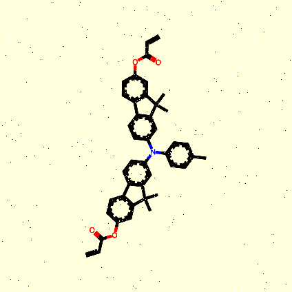 C=CC(=O)Oc1ccc2c(c1)C(C)(C)c1cc(N(c3ccc(C)cc3)c3ccc4c(c3)C(C)(C)c3cc(OC(=O)C=C)ccc3-4)ccc1-2